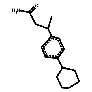 CC(CC(N)=O)c1ccc(C2CCCCC2)cc1